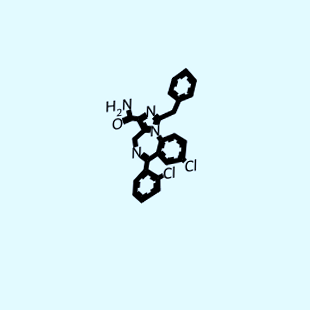 NC(=O)c1nc(Cc2ccccc2)n2c1CN=C(c1ccccc1Cl)c1cc(Cl)ccc1-2